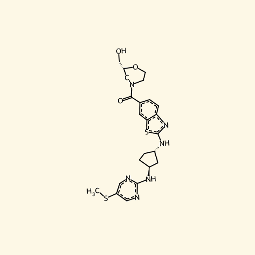 CSc1cnc(N[C@H]2CC[C@H](Nc3nc4ccc(C(=O)N5CCO[C@@H](CO)C5)cc4s3)C2)nc1